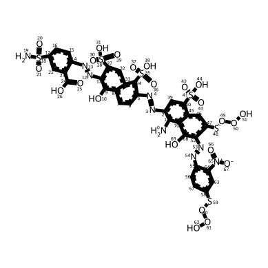 Nc1c(N=Nc2ccc3c(O)c(N=Nc4ccc(S(N)(=O)=O)cc4C(=O)O)c(S(=O)(=O)O)cc3c2S(=O)(=O)O)cc(S(=O)(=O)O)c2cc(SOOO)c(N=Nc3ccc(SOOO)cc3[N+](=O)[O-])c(O)c12